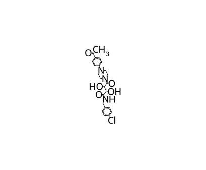 CC(=O)c1ccc(N2CCN(C(=O)[C@H](O)[C@@H](O)C(=O)NCc3ccc(Cl)cc3)CC2)cc1